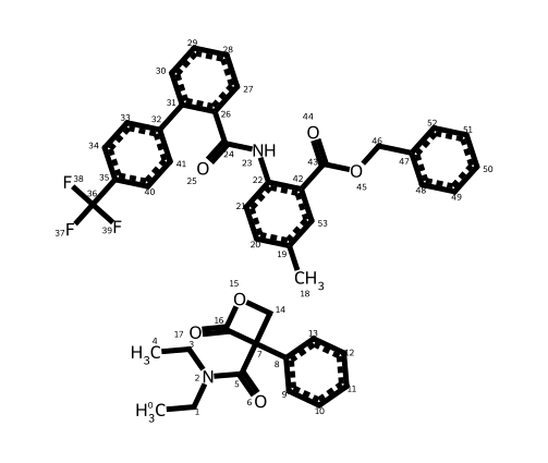 CCN(CC)C(=O)C1(c2ccccc2)COC1=O.Cc1ccc(NC(=O)c2ccccc2-c2ccc(C(F)(F)F)cc2)c(C(=O)OCc2ccccc2)c1